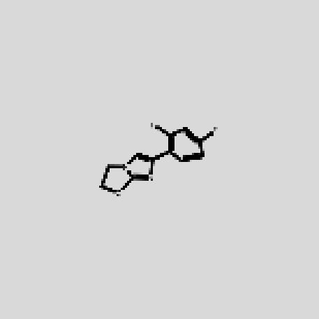 Fc1ccc(-c2cn3c(n2)OCC3)c(F)c1